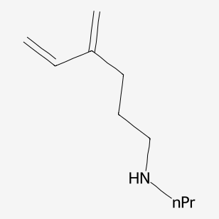 C=CC(=C)CCCNCCC